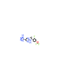 Fc1cc(OC(F)F)ccc1C1(Nc2ncc(-c3nnn[nH]3)cn2)CC1